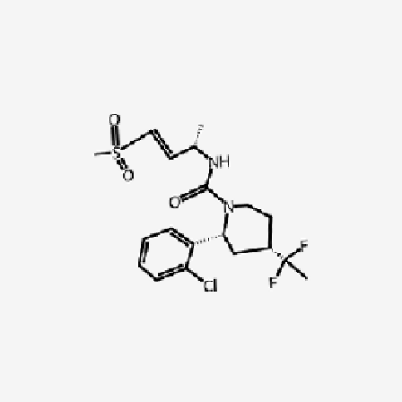 C[C@@H](/C=C/S(C)(=O)=O)NC(=O)N1CC[C@H](C(C)(F)F)C[C@@H]1c1ccccc1Cl